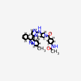 CC(=O)Nc1ccc(C(=O)N2CC(C)C(Nc3nccc(-c4c(-c5ccccc5)nn5cc(C)ccc45)n3)C2)cc1